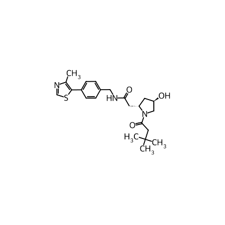 Cc1ncsc1-c1ccc(CNC(=O)C[C@@H]2C[C@@H](O)CN2C(=O)CC(C)(C)C)cc1